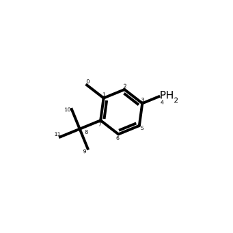 Cc1cc(P)ccc1C(C)(C)C